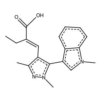 CCC(=Cc1c(C)nn(C)c1-c1cn(C)c2ccccc12)C(=O)O